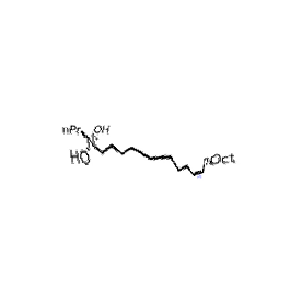 CCCCCCCC/C=C\CCCCCCCC[N+](O)(O)CCC